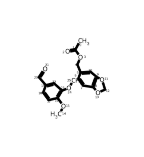 CC(=O)OCc1ccc2c(c1)OCO2.COc1ccc(C=O)cc1OC